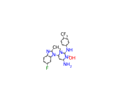 Cc1nc2ccc(F)cc2n1-c1cc(N)[n+](O)c(Nc2ccc(C(F)(F)F)cc2)n1